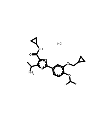 CC(N)c1oc(-c2ccc(OC(F)F)c(OCC3CC3)c2)nc1C(=O)NC1CC1.Cl